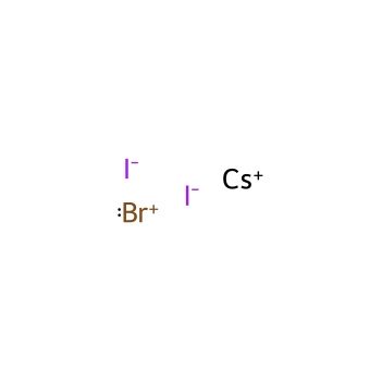 [Br+].[Cs+].[I-].[I-]